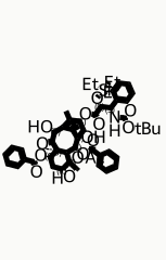 CC[Si](CC)(CC)O[C@@H](C(=O)O[C@H]1C[C@@]2(O)[C@@H](OC(=O)c3ccccc3)C3[C@](C)(C(=O)[C@H](O)C(=C1C)C2(C)C)[C@@H](OC(=O)c1ccccc1)C[C@H]1OC[C@@]31OC(C)=O)[C@@H](NC(=O)OC(C)(C)C)c1ccccc1